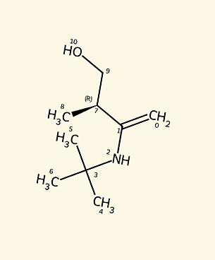 C=C(NC(C)(C)C)[C@@H](C)CO